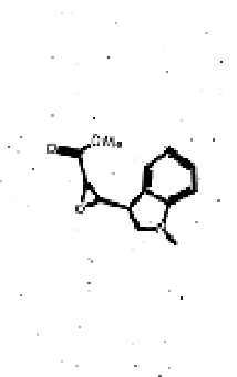 COC(=O)C1OC1C1CN(C)c2ccccc21